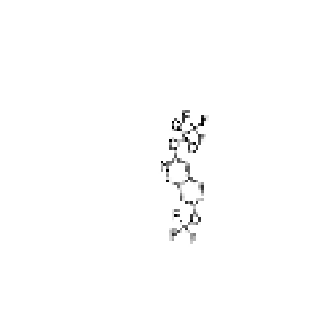 O=S(=O)(Oc1cc2ccc(OC(F)(F)F)cc2cn1)C(F)(F)F